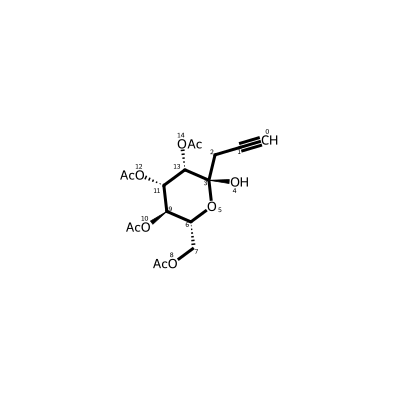 C#CC[C@]1(O)O[C@H](COC(C)=O)[C@@H](OC(C)=O)[C@H](OC(C)=O)[C@@H]1OC(C)=O